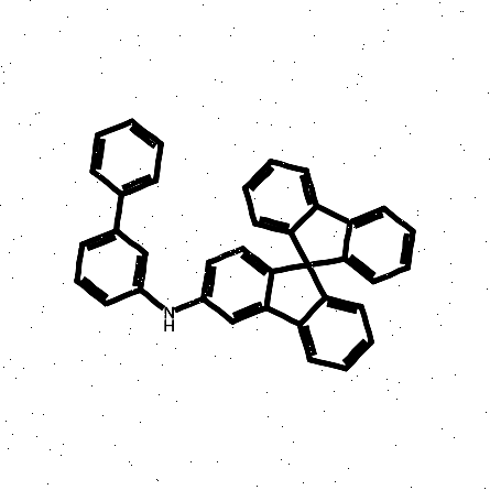 c1ccc(-c2cccc(Nc3ccc4c(c3)-c3ccccc3C43c4ccccc4-c4ccccc43)c2)cc1